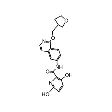 O=C(Nc1ccc2c(OCC3CCOC3)nccc2c1)c1nc(O)ccc1O